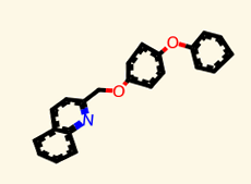 c1ccc(Oc2ccc(OCc3ccc4ccccc4n3)cc2)cc1